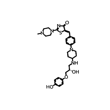 CN1CCN(C2=NC(=O)C(=Cc3ccc(N4CCC(NC[C@H](O)COc5ccc(O)cc5)CC4)cc3)S2)CC1